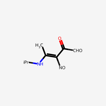 C/C(NC(C)C)=C(/N=O)C(=O)C=O